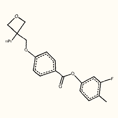 CCCC1(COc2ccc(C(=O)Oc3ccc(C)c(F)c3)cc2)COC1